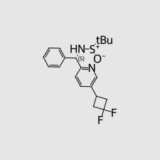 CC(C)(C)[S+]([O-])N[C@@H](c1ccccc1)c1ccc(C2CC(F)(F)C2)cn1